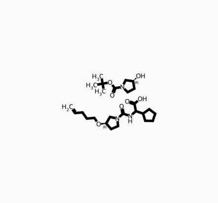 C=CCCCO[C@@H]1CCN(C(=O)NC(C(=O)O)C2CCCC2)C1.CC(C)(C)OC(=O)N1CC[C@@H](O)C1